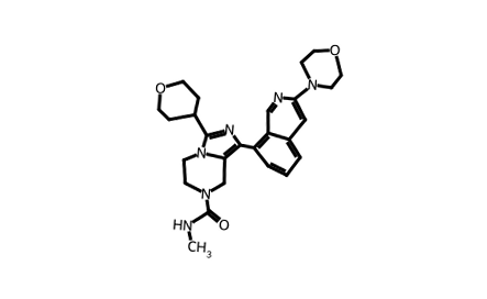 CNC(=O)N1CCn2c(C3CCOCC3)nc(-c3cccc4cc(N5CCOCC5)ncc34)c2C1